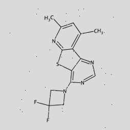 Cc1cc(C)c2c(n1)sc1c(N3CC(F)(F)C3)ncnc12